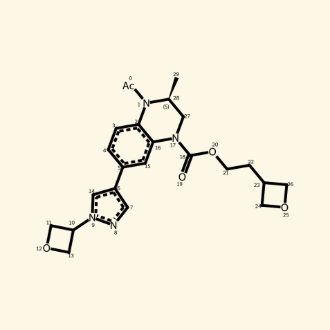 CC(=O)N1c2ccc(-c3cnn(C4COC4)c3)cc2N(C(=O)OCCC2COC2)C[C@@H]1C